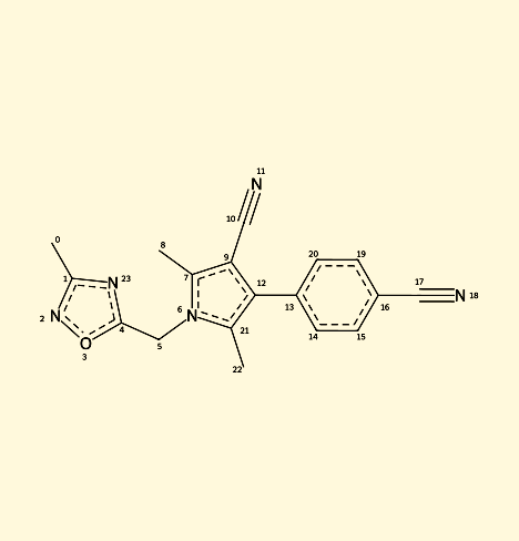 Cc1noc(Cn2c(C)c(C#N)c(-c3ccc(C#N)cc3)c2C)n1